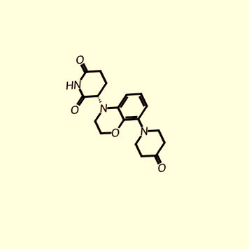 O=C1CCN(c2cccc3c2OCCN3[C@H]2CCC(=O)NC2=O)CC1